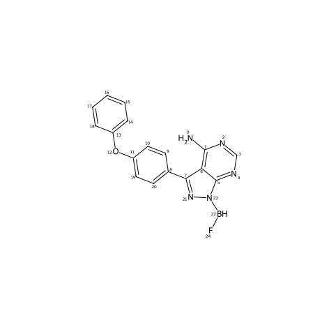 Nc1ncnc2c1c(-c1ccc(Oc3ccccc3)cc1)nn2BF